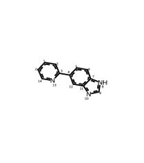 c1ccc(-c2ccc3[nH]cnc3c2)nc1